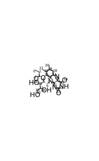 CCC(=O)O[C@H](Cn1c2nc(=O)[nH]c(=O)c-2nc2cc(C)c(C)cc21)[C@@H](O)[C@@H](O)CO